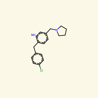 Clc1ccc(Cc2ccc(CN3CCCC3)cc2)cc1.N